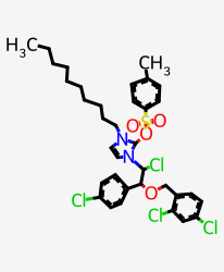 CCCCCCCCCCN1C=CN(C(Cl)C(OCc2ccc(Cl)cc2Cl)c2ccc(Cl)cc2)C1OS(=O)(=O)c1ccc(C)cc1